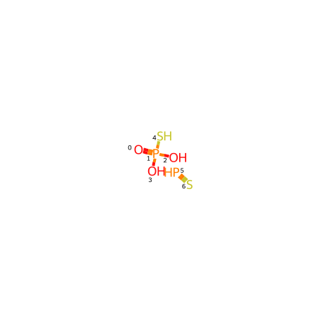 O=P(O)(O)S.P=S